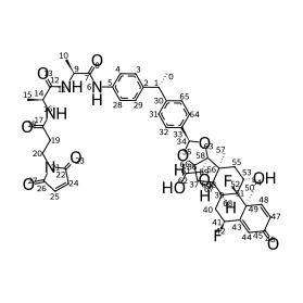 C[C@@H](c1ccc(NC(=O)[C@H](C)NC(=O)[C@H](C)NC(=O)CCN2C(=O)C=CC2=O)cc1)c1ccc([C@@H]2O[C@@H]3C[C@H]4[C@@H]5C[C@H](F)C6=CC(=O)C=C[C@]6(C)[C@@]5(F)[C@@H](O)C[C@]4(C)[C@]3(C(=O)CO)O2)cc1